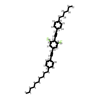 CCCCCCCCCCc1ccc(C#Cc2cc(F)c(C#Cc3ccc(CCCCCC)cc3)c(F)c2)cc1